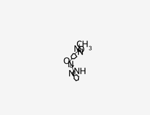 Cc1nc(-c2ccc(C(=O)N3CC(c4nc5ccccc5[nH]4)C3)cc2)no1